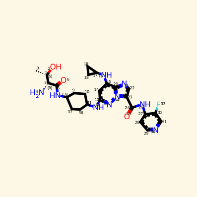 C[C@H](O)[C@@H](N)C(=O)NC1CCC(Nc2cc(NC3CC3)c3ncc(C(=O)Nc4ccncc4F)n3n2)CC1